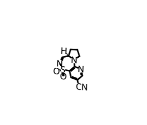 N#Cc1cnc2c(c1)S(=O)(=O)N=C[C@H]1CCCN21